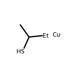 CCC(C)S.[Cu]